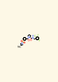 N#CC1CN(S(=O)(=O)c2cccc(C(=O)N3CCC[C@@H]3C(=O)NCc3cc(F)cc(F)c3F)c2)C1